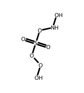 O=S(=O)(ONO)OOO